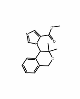 COC(=O)c1cncn1C1c2ccccc2COC1(C)C